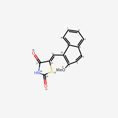 COc1ccc2ccccc2c1/C=C1\SC(=O)NC1=O